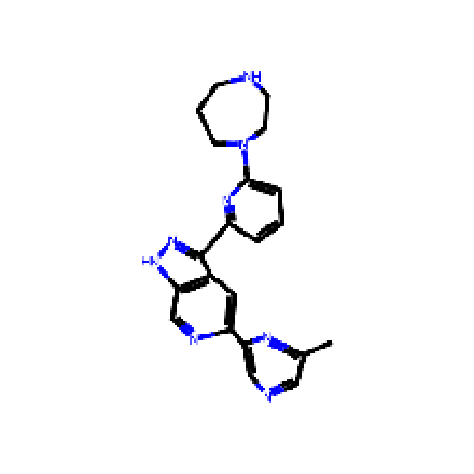 Cc1cncc(-c2cc3c(-c4cccc(N5CCCNCC5)n4)n[nH]c3cn2)n1